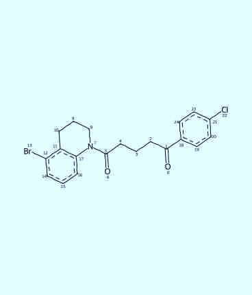 O=C(CCCC(=O)N1CCCc2c(Br)cccc21)c1ccc(Cl)cc1